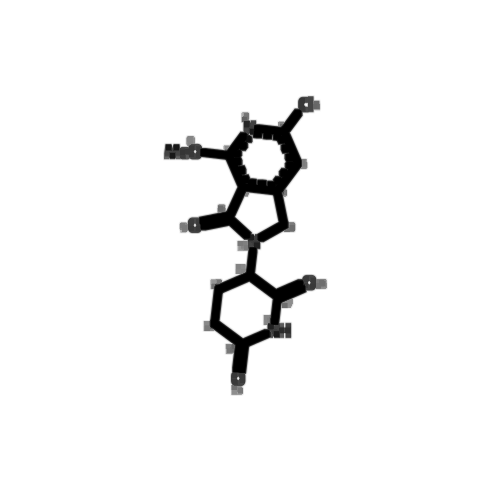 COc1nc(Cl)cc2c1C(=O)N(C1CCC(=O)NC1=O)C2